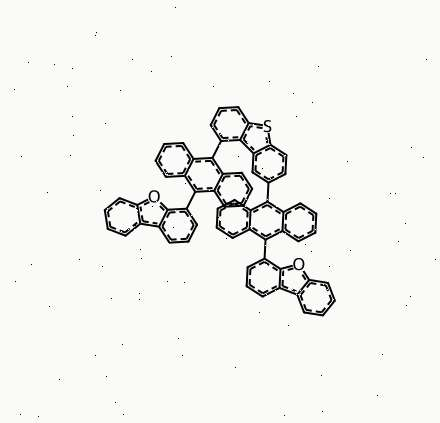 c1ccc2c(c1)oc1c(-c3c4ccccc4c(-c4ccc5sc6cccc(-c7c8ccccc8c(-c8cccc9c8oc8ccccc89)c8ccccc78)c6c5c4)c4ccccc34)cccc12